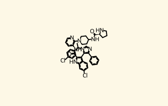 CC(c1ccc(Cl)cc1)n1cnc(-c2ccccc2)c1-c1c(C(=O)Nc2cccnc2N2CCC(NC(=O)[C@@H]3CCCN3)CC2)[nH]c2cc(Cl)ccc12